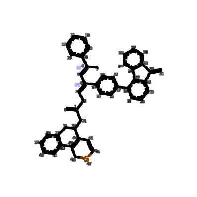 C=C(C/C=C(/C=C(\C)c1ccccc1)c1ccc(-c2cccc3c2-c2ccccc2C3=C)cc1)CC1Cc2ccccc2C2=C1C=CSC2